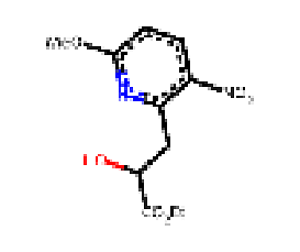 CCOC(=O)C(O)Cc1nc(OC)ccc1[N+](=O)[O-]